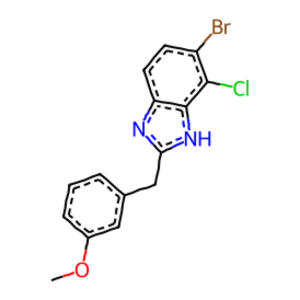 COc1cccc(Cc2nc3ccc(Br)c(Cl)c3[nH]2)c1